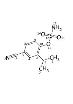 CC(C)c1cc(C#N)ccc1OS(N)(=O)=O